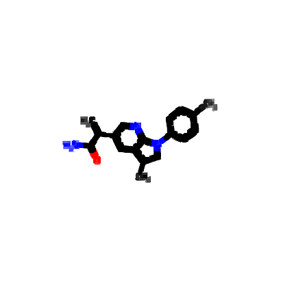 C=C(C(N)=O)c1cnc2c(c1)c(C)cn2-c1ccc(C(F)(F)F)cc1